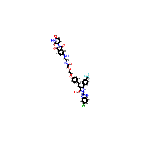 O=C(COCCOc1ccc(CCc2c(-c3ccc(C(F)(F)F)cc3)nn(-c3nc4cc(Cl)ccc4[nH]3)c2O)cc1)NCCNc1ccc2c(c1)C(=O)N(C1CCC(=O)NC1=O)C2=O